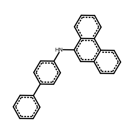 c1ccc(-c2ccc(Nc3cc4ccccc4c4ccccc34)cc2)cc1